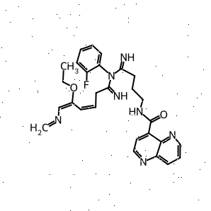 C=N/C=C(\C=C/CC(=N)N(C(=N)CCCNC(=O)c1ccnc2cccnc12)c1ccccc1F)OCC